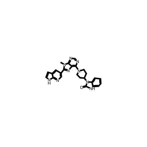 Cn1c(-c2cnc3[nH]ccc3c2)nc2c(N3CCC(n4c(=O)[nH]c5ccccc54)CC3)ncnc21